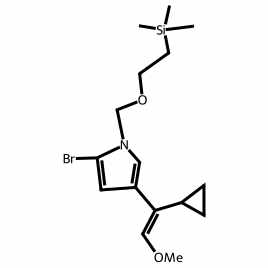 CO/C=C(/c1cc(Br)n(COCC[Si](C)(C)C)c1)C1CC1